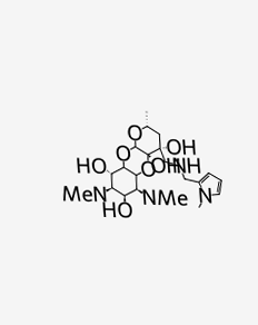 CN[C@@H]1[C@H](O)[C@H](NC)C2O[C@]3(O)C(OC2[C@H]1O)O[C@H](C)C[C@@]3(O)CNCc1cccn1C